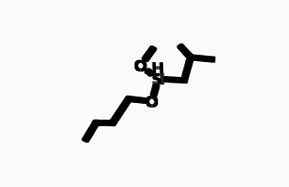 CCCCO[SiH](CC(C)C)OC